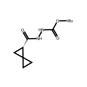 CC(C)(C)OC(=O)NNC(=O)[C@H]1CC12CC2